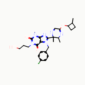 CCn1c(=O)n(CCCO)c(=O)c2c1nc(C1(C)N=CC(OC3CCC3C)=NC1C)n2Cc1ccc(Cl)cc1